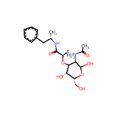 CC(=O)N[C@H]1C(O)O[C@H](CO)[C@H](O)C1O[C@H](C)C(=O)N[C@@H](C)Cc1ccccc1